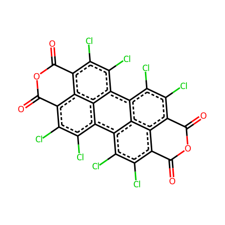 O=C1OC(=O)c2c(Cl)c(Cl)c3c4c(Cl)c(Cl)c5c6c(c(Cl)c(Cl)c(c7c(Cl)c(Cl)c1c2c73)c64)C(=O)OC5=O